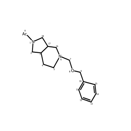 CC(=O)N1CC2CCN(COCc3ccccc3)CC2C1